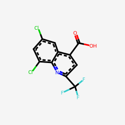 O=C(O)c1cc(C(F)(F)F)nc2c(Cl)cc(Cl)cc12